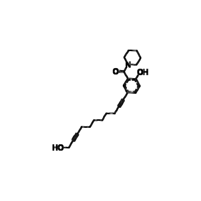 O=C(c1cc(C#CCCCCCCC#CCO)ccc1O)N1CCCCC1